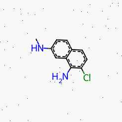 CNc1ccc2ccc(Cl)c(N)c2c1